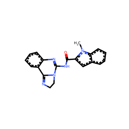 Cn1c(C(=O)NC2=Nc3ccccc3C3=NCCN23)cc2ccccc21